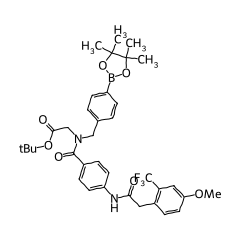 COc1ccc(CC(=O)Nc2ccc(C(=O)N(CC(=O)OC(C)(C)C)Cc3ccc(B4OC(C)(C)C(C)(C)O4)cc3)cc2)c(C(F)(F)F)c1